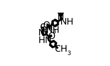 Cc1ccc(NC(=O)c2cnn(C)c2NC(=O)c2ccc(C(=N)N3CC3)cc2)cc1